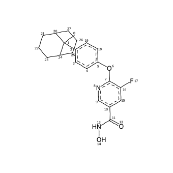 CC1(c2ccc(Oc3ncc(C(=O)NO)cc3F)cc2)C2CCCC1CCC2